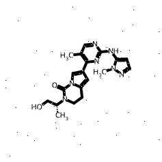 Cc1cnc(Nc2ccnn2C)nc1-c1cc2n(c1)C(=O)N([C@H](C)CO)CC2